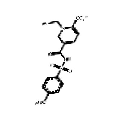 COc1ccc(S(=O)(=O)NC(=O)C2=CC=C(C(=O)O)N(CC(C)C)C2)cc1